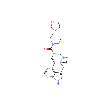 C1CCOC1.CCN(CC)C(=O)[C@@H]1C=C2c3cccc4[nH]cc(c34)C[C@H]2N(C)C1